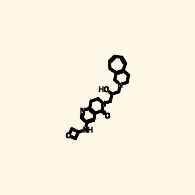 O=C1c2cc(NC3COC3)cnc2CCN1CC(O)CN1CCC2=C(CC=CC=C2)C1